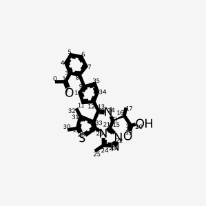 CC(=O)c1ccccc1-c1ccc(C2=N[C@@H](C(C)C(=O)O)c3nnc(C)n3-c3sc(C)c(C)c32)cc1